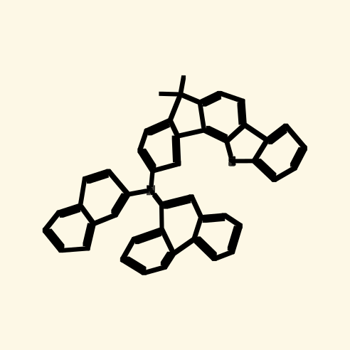 CC1(C)c2ccc(N(c3ccc4ccccc4c3)c3cc4ccccc4c4ccccc34)cc2-c2c1ccc1c2sc2ccccc21